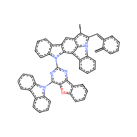 C=c1cccc/c1=C/c1c(C)c2cc3c4ccccc4n(-c4nc(-n5c6ccccc6c6ccccc65)c5oc6ccccc6c5n4)c3c3c4ccccc4n1c23